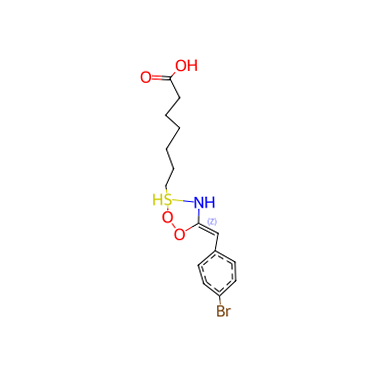 O=C(O)CCCCCC[SH]1N/C(=C/c2ccc(Br)cc2)OO1